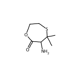 CC1(C)SCCOC(=O)C1N